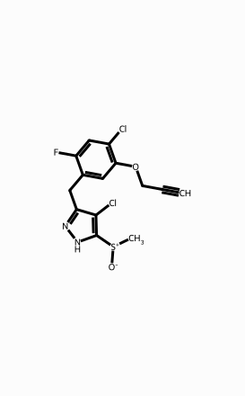 C#CCOc1cc(Cc2n[nH]c([S+](C)[O-])c2Cl)c(F)cc1Cl